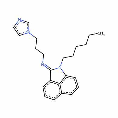 CCCCCCN1C(=NCCCn2ccnc2)c2cccc3cccc1c23